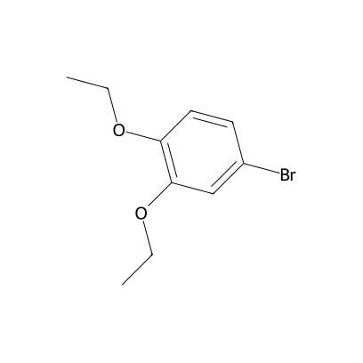 CCOc1ccc(Br)cc1OCC